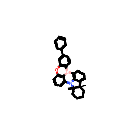 CC12CCCC[C@@]1(C)c1cccc3c1N2c1cccc2c1B3c1ccc(-c3ccccc3)cc1O2